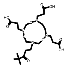 CC(C)(C)C(=O)CCN1CCN(CCC(=O)O)CCN(CCC(=O)O)CCN(CCC(=O)O)CC1